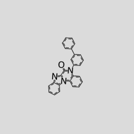 O=c1c2nc3ccccc3n2c2ccccc2n1-c1cccc(-c2ccccc2)c1